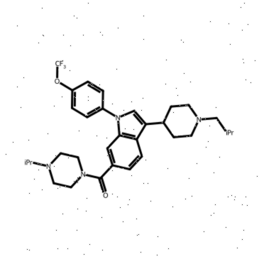 CC(C)CN1CCC(c2cn(-c3ccc(OC(F)(F)F)cc3)c3cc(C(=O)N4CCN(C(C)C)CC4)ccc23)CC1